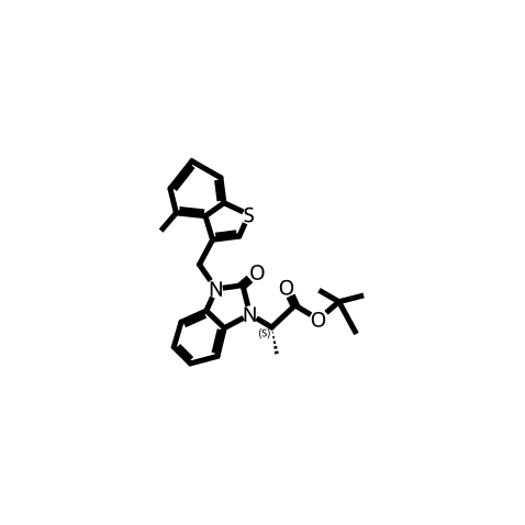 Cc1cccc2scc(Cn3c(=O)n([C@@H](C)C(=O)OC(C)(C)C)c4ccccc43)c12